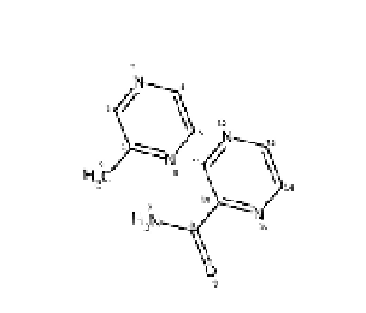 Cc1cnccn1.NC(=O)c1cnccn1